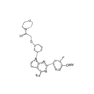 CCc1nc(-c2ccc(OC)c(F)c2)nc2c1ccn2-c1cccc(OCC(=O)N2CCOCC2)c1